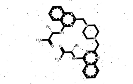 CC(C)[C@H](Nc1nc(CN2CCN(Cc3nc(N[C@H](C(N)=O)C(C)C)c4ccccc4n3)CC2)nc2ccccc12)C(N)=O